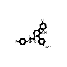 COc1ccc(C2c3[nH]c4ccc(Cl)cc4c3CCN2C(=O)C(=O)Nc2ccc(F)cc2)cc1